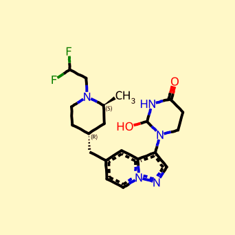 C[C@H]1C[C@H](Cc2ccn3ncc(N4CCC(=O)NC4O)c3c2)CCN1CC(F)F